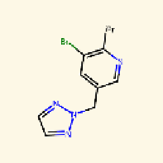 CC(C)c1ncc(Cn2nccn2)cc1Br